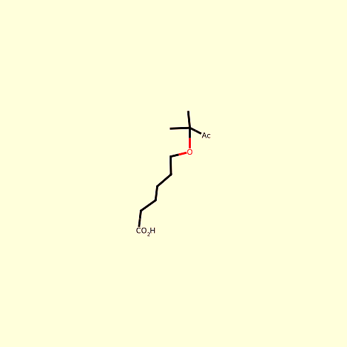 CC(=O)C(C)(C)OCCCCCC(=O)O